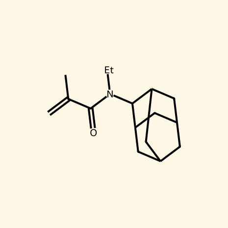 C=C(C)C(=O)N(CC)C1C2CC3CC(C2)CC1C3